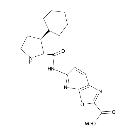 COC(=O)c1nc2ccc(NC(=O)[C@H]3NCC[C@H]3C3CCCCC3)nc2o1